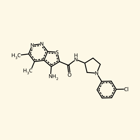 Cc1nnc2sc(C(=O)NC3CCN(c4cccc(Cl)c4)C3)c(N)c2c1C